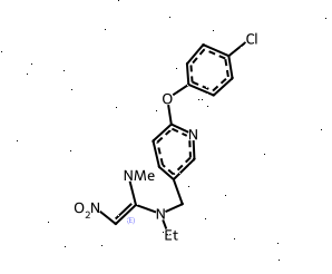 CCN(Cc1ccc(Oc2ccc(Cl)cc2)nc1)/C(=C/[N+](=O)[O-])NC